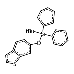 CC(C)(C)[Si](Oc1ccc2ccsc2c1)(c1ccccc1)c1ccccc1